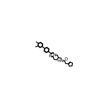 Cc1ccc(-c2ccc(-c3cn4c(n3)CCC(CNC(=O)CC3=CCCC3)C4)cc2)cc1C